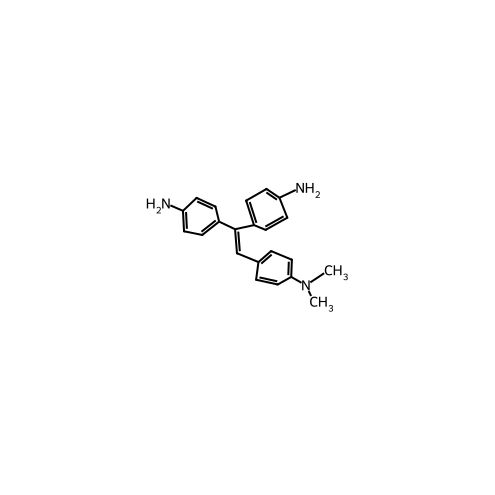 CN(C)c1ccc(C=C(c2ccc(N)cc2)c2ccc(N)cc2)cc1